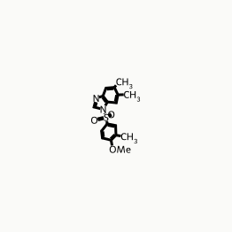 COc1ccc(S(=O)(=O)n2cnc3cc(C)c(C)cc32)cc1C